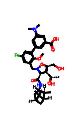 COc1c(CN2O[C@@H](CO)[C@@H]([C@H](C)O)[C@H]2C(=O)N[C@H]2C[C@H]3C[C@@H]([C@@H]2C)C3(C)C)cc(F)cc1-c1cc(C(=O)O)cc(N(C)C)c1